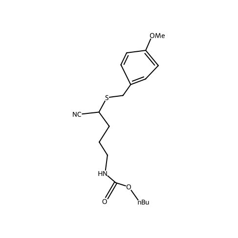 CCCCOC(=O)NCCCC(C#N)SCc1ccc(OC)cc1